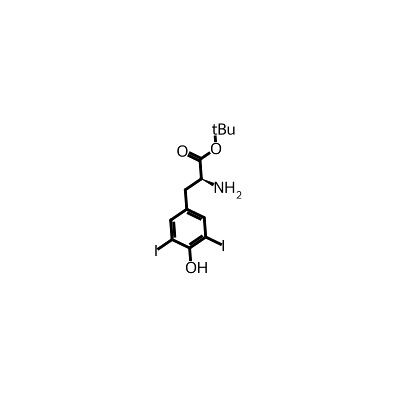 CC(C)(C)OC(=O)[C@@H](N)Cc1cc(I)c(O)c(I)c1